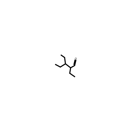 CCC(C=O)C(CC)CC